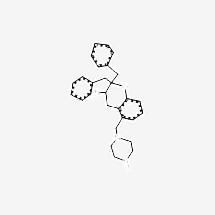 NC1Cc2c(CN3CCNCC3)cccc2OC1(Cc1ccccc1)Cc1ccccc1